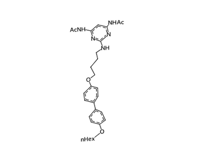 CCCCCCOc1ccc(-c2ccc(OCCCCNc3nc(NC(C)=O)cc(NC(C)=O)n3)cc2)cc1